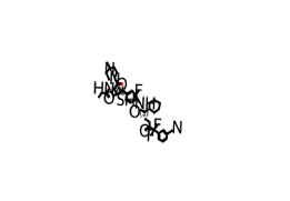 CCC(=O)N[C@@H](C(=O)N1CCN(C)CC1)C(C)(S)[C@@H](C)c1ccc(NC(=O)[C@@H](CCC(=O)C(F)(F)c2cccc(C#N)c2)C2CCCCC2)c(F)c1